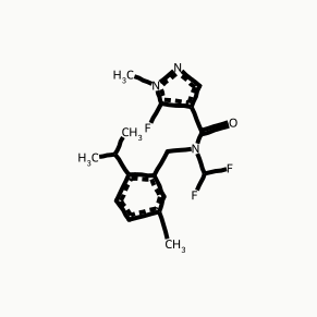 Cc1ccc(C(C)C)c(CN(C(=O)c2cnn(C)c2F)C(F)F)c1